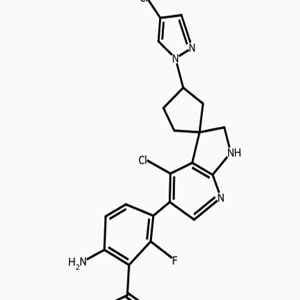 CC(=O)c1c(N)ccc(-c2cnc3c(c2Cl)C2(CCC(n4cc(Cl)cn4)C2)CN3)c1F